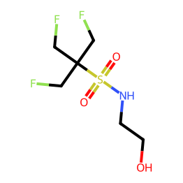 O=S(=O)(NCCO)C(CF)(CF)CF